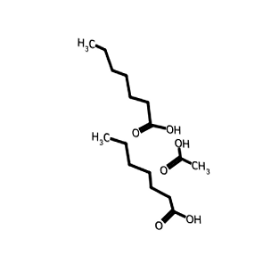 CC(=O)O.CCCCCCC(=O)O.CCCCCCC(=O)O